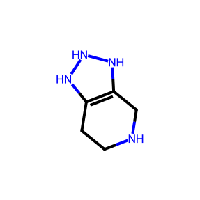 C1CC2=C(CN1)NNN2